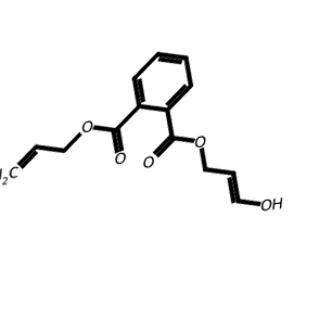 C=CCOC(=O)c1ccccc1C(=O)OCC=CO